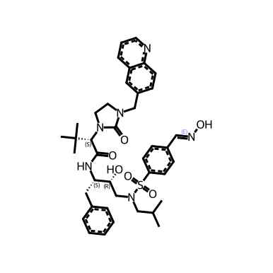 CC(C)CN(C[C@@H](O)[C@H](Cc1ccccc1)NC(=O)[C@@H](N1CCN(Cc2ccc3ncccc3c2)C1=O)C(C)(C)C)S(=O)(=O)c1ccc(/C=N/O)cc1